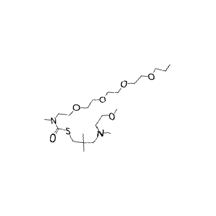 CCCOCCOCCOCCOCCN(C)C(=O)SCC(C)(C)CN(C)CCOC